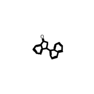 O=C1CC(c2cccc3ccccc23)c2ccccc21